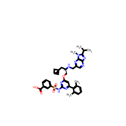 Cc1cccc(C)c1-c1cc(OC[C@@H](CC23CC(C2)C3)NCc2cnc3nc(C(C)C)n(C)c3n2)nc(NS(=O)(=O)c2cccc(C(=O)O)c2)n1